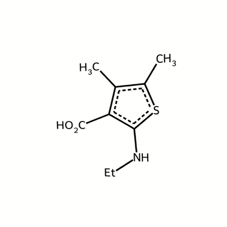 CCNc1sc(C)c(C)c1C(=O)O